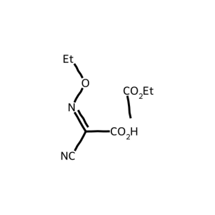 CCOC(C)=O.CCON=C(C#N)C(=O)O